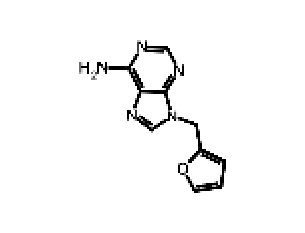 Nc1ncnc2c1ncn2Cc1ccco1